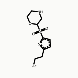 CC(=O)CCc1ccc(S(=O)(=O)C2CNCCO2)s1